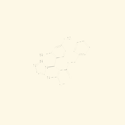 COc1ccc(C2C(C(=O)OCc3ccccc3)=C(C)Nc3nnnn32)c(C#N)c1